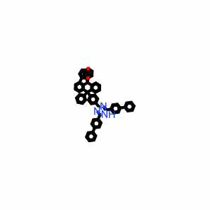 c1ccc(-c2ccc(C3=NC(c4ccc(C5(c6ccccc6)c6ccccc6C6(c7ccccc7)c7ccccc7-c7cccc5c76)cc4)=NC(c4ccc(-c5ccccc5)cc4)N3)cc2)cc1